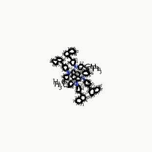 Cc1ccc(N(c2ccc(-c3cccc4ccccc34)cc2)c2cc(N(c3ccc(C)cc3)c3ccc(-c4cccc5ccccc45)cc3)c3ccc4c(N(c5ccc(C)cc5)c5ccc(-c6cccc7ccccc67)cc5)cc(N(c5ccc(C)cc5)c5ccc(-c6cccc7ccccc67)cc5)c5ccc2c3c54)cc1